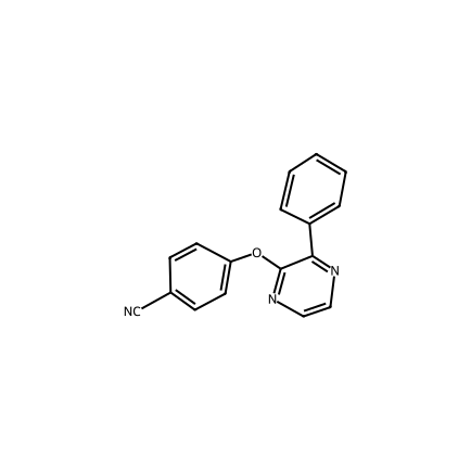 N#Cc1ccc(Oc2nccnc2-c2ccccc2)cc1